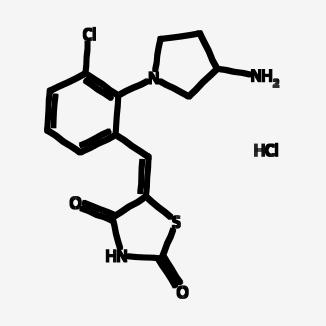 Cl.NC1CCN(c2c(Cl)cccc2C=C2SC(=O)NC2=O)C1